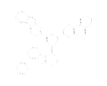 CC1C=C(c2nc(-c3ccc4c(ccc5ccccc54)c3)nc(-c3ccc4c(c3)oc3ccccc34)n2)c2c(oc3c(-c4ccccc4)cccc23)C1